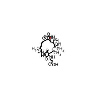 CO[C@H]1/C=C\C=C(/C)C(=O)NC2=CC(=O)C(NCCC(=O)O)=C(C[C@@H](C)C[C@H](OC)[C@H](O)[C@@H](C)/C=C(\C)[C@@H]1OC(N)=O)C2=O